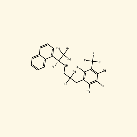 [2H]c1c([2H])c(CC([2H])([2H])CN[C@@]([2H])(c2cccc3ccccc23)C([2H])([2H])[2H])c([2H])c(C(F)(F)F)c1[2H]